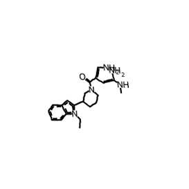 CCn1c(C2CCCN(C(=O)C(/C=C(\N)NC)=C/N)C2)cc2ccccc21